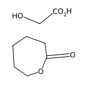 O=C(O)CO.O=C1CCCCCO1